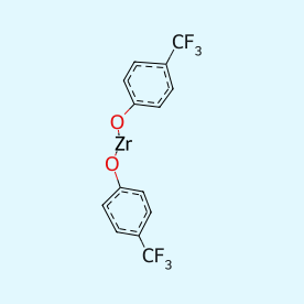 FC(F)(F)c1ccc([O][Zr][O]c2ccc(C(F)(F)F)cc2)cc1